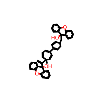 C=C(C1(C)C=CC=C(C2=CCC(CC3(O)c4ccccc4Oc4ccccc43)C=C2)C=C1)C1(O)c2ccccc2Oc2ccccc21